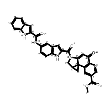 COC(=O)c1cnc2c(c1)C13CC1CN(C(=O)c1cc4cc(NC(=O)c5cc6ccccc6[nH]5)ccc4[nH]1)C3=CC2=O